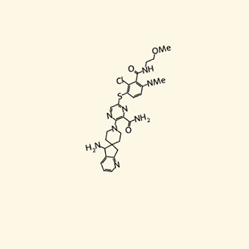 CNc1ccc(Sc2cnc(N3CCC4(CC3)Cc3ncccc3C4N)c(C(N)=O)n2)c(Cl)c1C(=O)NCCOC